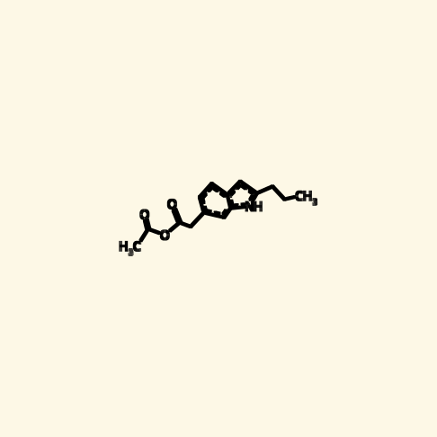 CCCc1cc2ccc(CC(=O)OC(C)=O)cc2[nH]1